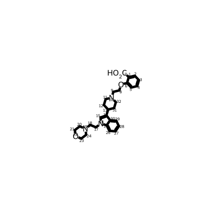 O=C(O)c1ccccc1OCCN1CCC(c2cn(CCN3CCOCC3)c3ccccc23)CC1